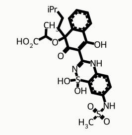 CC(C)CCC1(OC(C)C(=O)O)C(=O)C(C2=NS(O)(O)c3cc(NS(C)(=O)=O)ccc3N2)=C(O)c2ccccc21